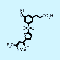 CCOc1cc(CCC(=O)O)cc(S(=O)(=O)c2ccc(C(=N)/C=C(\NC)C(F)(F)F)s2)c1